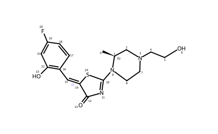 C[C@H]1CN(CCO)CCN1C1=NC(=O)/C(=C/c2ccc(F)cc2O)S1